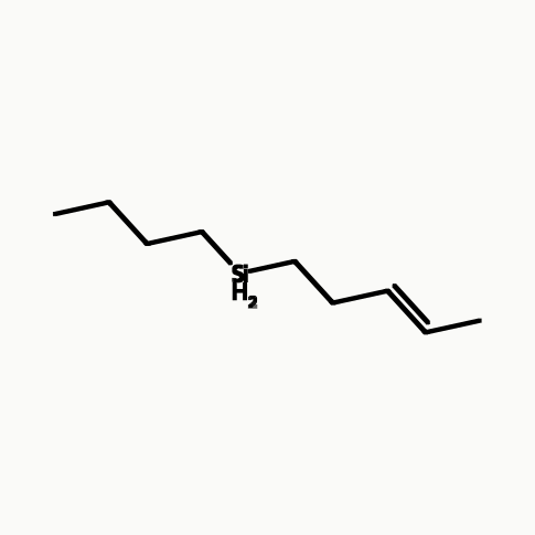 C/C=C/CC[SiH2]CCCC